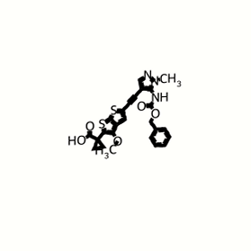 COc1c(C2(C(=O)O)CC2)sc2sc(C#Cc3cnn(C)c3NC(=O)OCc3ccccc3)cc12